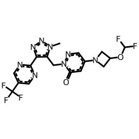 Cn1nnc(-c2ncc(C(F)(F)F)cn2)c1Cn1ncc(N2CC(OC(F)F)C2)cc1=O